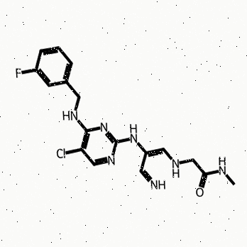 CNC(=O)CN/C=C(\C=N)Nc1ncc(Cl)c(NCc2cccc(F)c2)n1